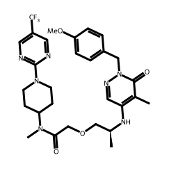 COc1ccc(Cn2ncc(N[C@@H](C)COCC(=O)N(C)C3CCN(c4ncc(C(F)(F)F)cn4)CC3)c(C)c2=O)cc1